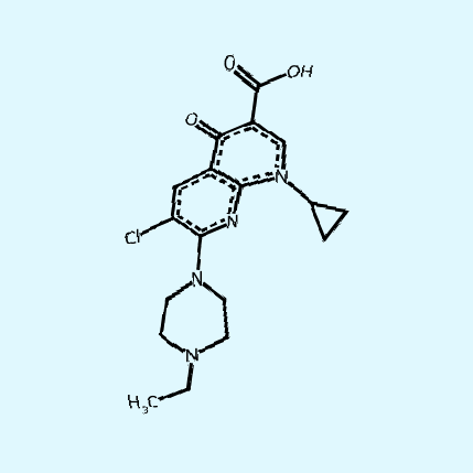 CCN1CCN(c2nc3c(cc2Cl)c(=O)c(C(=O)O)cn3C2CC2)CC1